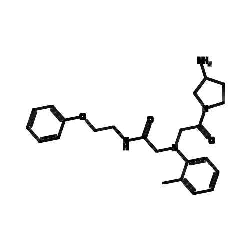 Cc1ccccc1N(CC(=O)NCCOc1ccccc1)CC(=O)N1CCC(N)C1